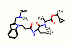 CNN(C)Cc1cc2ccccc2n1CCC(=O)NC(CS(=O)(=O)O)C(=O)N(C)C(C)C(=O)O[C@@H](C)C1CC1